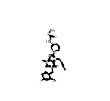 CC#CCn1c(N2CCC[C@@H](NC(=O)OC(C)(C)C)C2)nc2c1c(=O)n(Cc1ccc(F)cc1C#N)c(=O)n2C